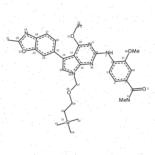 CNC(=O)c1ccc(Nc2nc(OC(C)C)c3c(-c4ccc5nc(C)oc5c4)cn(COCC[Si](C)(C)C)c3n2)c(OC)c1